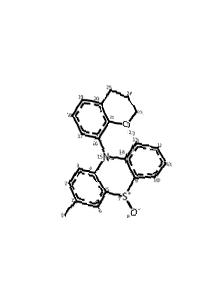 Cc1ccc2c(c1)[S+]([O-])c1ccccc1N2c1cccc2c1OCCC2